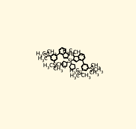 C[Si](C)(C)c1cc(-c2cccc3c2C=C2[CH]3[Hf]([CH3])([CH3])[CH]3C(=Cc4c(-c5cc([Si](C)(C)C)cc([Si](C)(C)C)c5)cccc43)[Si]2(C2CCCC2)C2CCCC2)cc([Si](C)(C)C)c1